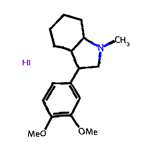 COc1ccc(C2CN(C)C3CCCCC23)cc1OC.I